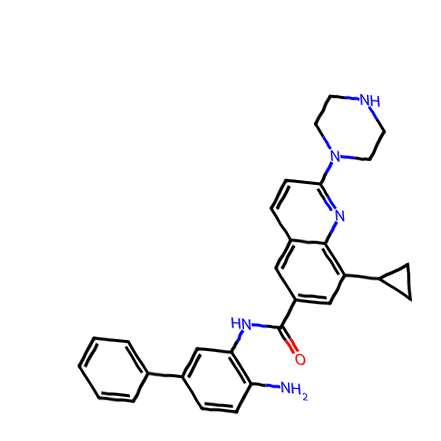 Nc1ccc(-c2ccccc2)cc1NC(=O)c1cc(C2CC2)c2nc(N3CCNCC3)ccc2c1